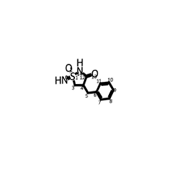 N=S1(=O)CC(Cc2ccccc2)C(=O)N1